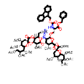 COC(=O)[C@@]1(OCC2O[C@H](OC[C@H](NC(=O)OCC3c4ccccc4-c4ccccc43)C(=O)OCc3ccccc3)C(N=[N+]=[N-])[C@@H](O[C@@H]3OC(COC(C)=O)[C@@H]4OC(=O)[C@]5(C[C@@H](OC(C)=O)[C@@H](NC(C)=O)C([C@H](OC(C)=O)[C@@H](COC(C)=O)OC(C)=O)O5)OC4[C@@H]3OC(C)=O)[C@H]2OC(C)=O)C[C@@H](OC(C)=O)[C@@H](NC(C)=O)C([C@H](OC(C)=O)[C@@H](COC(C)=O)OC(C)=O)O1